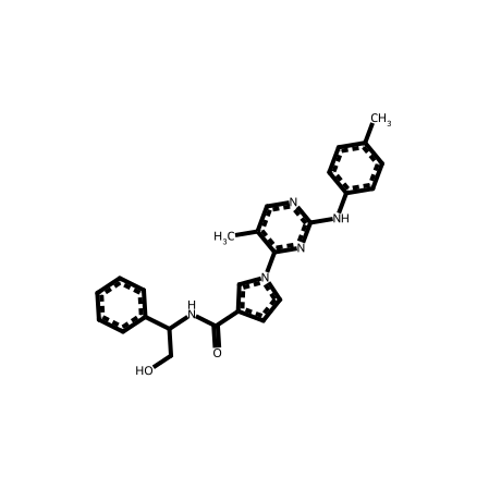 Cc1ccc(Nc2ncc(C)c(-n3ccc(C(=O)NC(CO)c4ccccc4)c3)n2)cc1